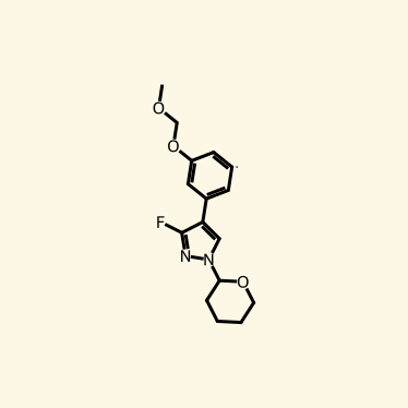 COCOc1c[c]cc(-c2cn(C3CCCCO3)nc2F)c1